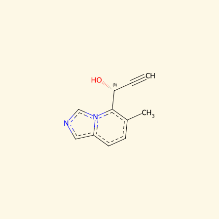 C#C[C@@H](O)c1c(C)ccc2cncn12